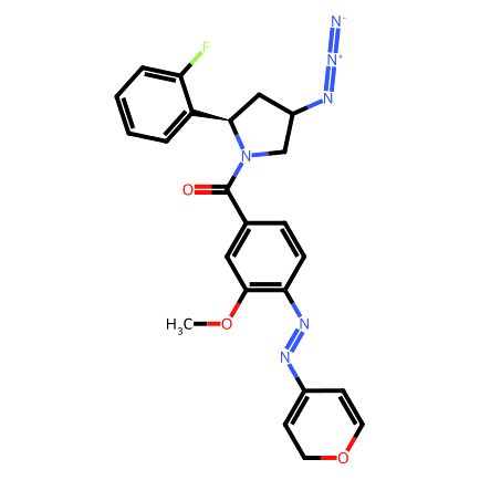 COc1cc(C(=O)N2CC(N=[N+]=[N-])C[C@@H]2c2ccccc2F)ccc1N=NC1=CCOC=C1